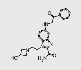 NC(=O)c1nc2cc(NCC(=O)c3ccccc3)ccc2n1CCN1CC(O)C1